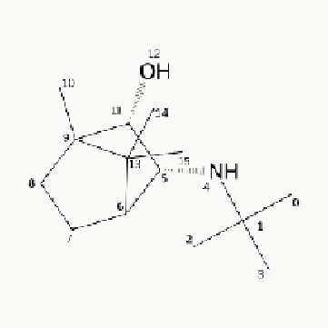 CC(C)(C)N[C@@H]1C2CCC(C)([C@@H]1O)C2(C)C